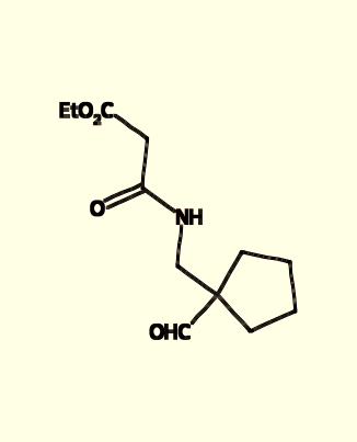 CCOC(=O)CC(=O)NCC1(C=O)CCCC1